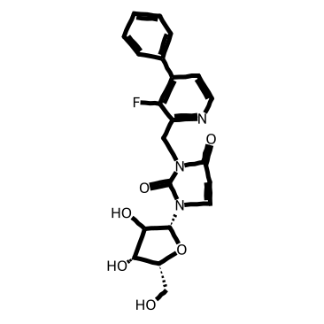 O=c1ccn([C@@H]2O[C@H](CO)[C@H](O)C2O)c(=O)n1Cc1nccc(-c2ccccc2)c1F